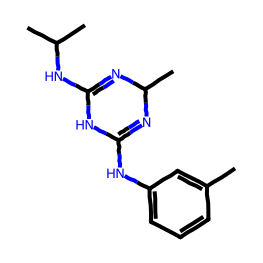 Cc1cccc(NC2=NC(C)N=C(NC(C)C)N2)c1